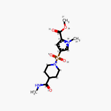 CNC(=O)C1CCN(S(=O)(=O)c2cc(C(=O)OC)n(C)c2)CC1